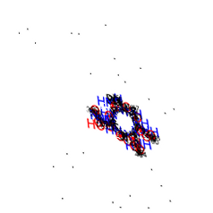 BNCC[C@@H]1NC(=O)[C@@H](NC(=O)[C@@H](CO)NC(=O)c2coc(C)n2)CCNC(=O)[C@H]([C@@H](C)O)NC(=O)[C@H](CCNC(=O)OC(C)(C)C)NC(=O)[C@H](CCNC(=O)OC(C)(C)C)NC(=O)[C@H](CC(C)C)NC(=O)[C@@H](Cc2ccccc2)NC1=O